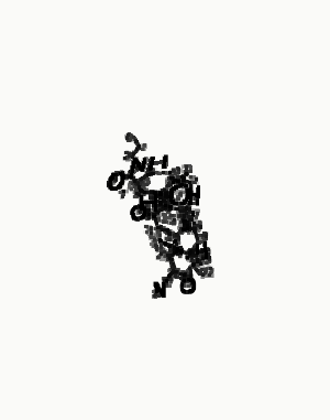 CCCNC(=O)[C@@]1(C)CC[C@]2(C)CC[C@@]3(C)[C@]4(C)CC[C@H]5C(C)(C)C(=O)C(C#N)=C[C@]5(C)C4=CC(=O)[C@]3(O)[C@@H]2C1